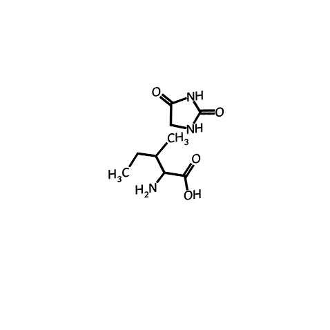 CCC(C)C(N)C(=O)O.O=C1CNC(=O)N1